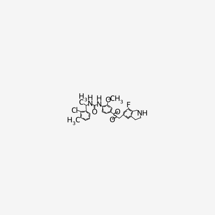 COc1cc(S(=O)(=O)Cc2cc(F)c3c(c2)CCNC3)ccc1NC(=O)NC(C)c1cccc(C)c1Cl